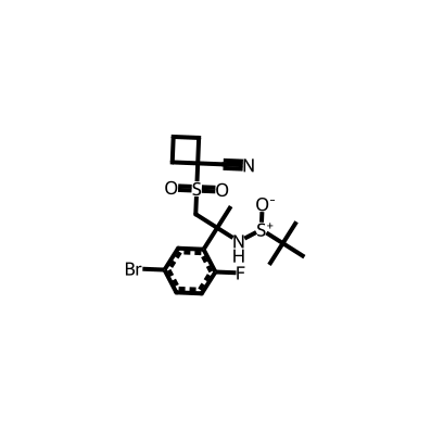 CC(CS(=O)(=O)C1(C#N)CCC1)(N[S+]([O-])C(C)(C)C)c1cc(Br)ccc1F